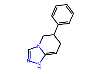 C1=NNC2=CCC(c3ccccc3)CN12